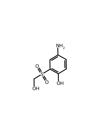 Nc1ccc(O)c(S(=O)(=O)CO)c1